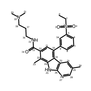 CCS(=O)(=O)c1cccc(-c2cc(C(=O)NCCCN(C)C)c(C)c3[nH]c4ncc(C)cc4c23)c1